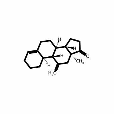 C=C1C[C@]2(C)C(=O)CC[C@H]2[C@@H]2CCC3=CCCC[C@@H]3[C@@H]12